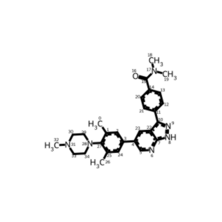 Cc1cc(-c2cnc3[nH]nc(-c4ccc(C(=O)N(C)C)cc4)c3c2)cc(C)c1N1CCN(C)CC1